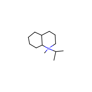 CC(C)[N+]1(C)CCCC2CCCCC21